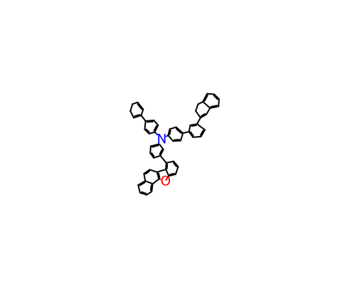 C1=CC(c2ccc(N(c3ccc(-c4cccc(C5=Cc6ccccc6CC5)c4)cc3)c3cccc(-c4cccc5oc6c7ccccc7ccc6c45)c3)cc2)=CCC1